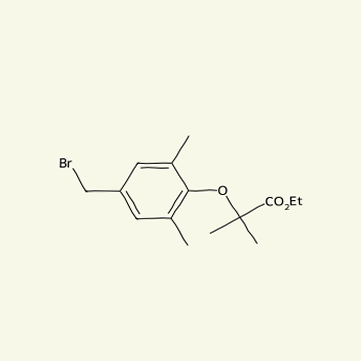 CCOC(=O)C(C)(C)Oc1c(C)cc(CBr)cc1C